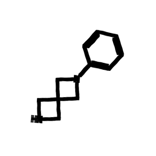 c1ccc(N2CC3(CNC3)C2)cc1